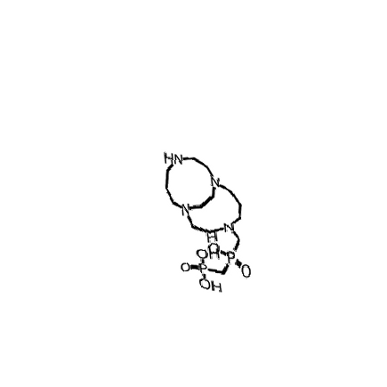 O=P(O)(O)CP(=O)(O)CN1CCCN2CCNCCCN(CC2)CC1